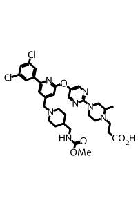 COC(=O)NCC1CCN(Cc2cc(Oc3cnc(N4CCN(CCC(=O)O)C(C)C4)nc3)nc(-c3cc(Cl)cc(Cl)c3)c2)CC1